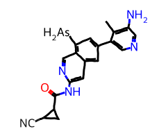 Cc1c(N)cncc1-c1cc([AsH2])c2cnc(NC(=O)C3CC3C#N)cc2c1